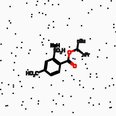 CCCCC(CCC)OC(=O)c1ccc(C(=O)O)cc1S(=O)(=O)O.[NaH]